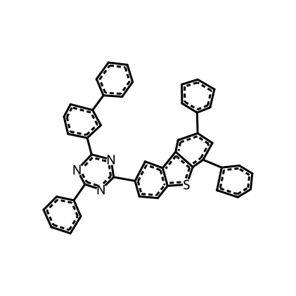 c1ccc(-c2cccc(-c3nc(-c4ccccc4)nc(-c4ccc5sc6c(-c7ccccc7)cc(-c7ccccc7)cc6c5c4)n3)c2)cc1